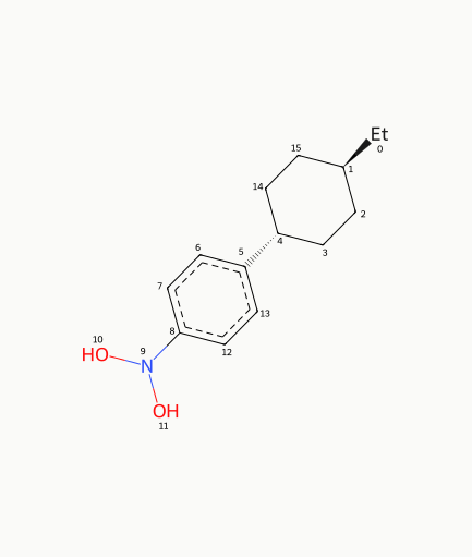 CC[C@H]1CC[C@H](c2ccc(N(O)O)cc2)CC1